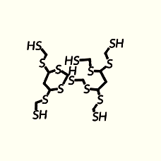 SCSC(CC(SCS)SCS)SCS.SCSC1CC(SCS)SCS1